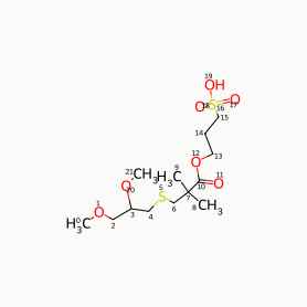 COCC(CSCC(C)(C)C(=O)OCCCS(=O)(=O)O)OC